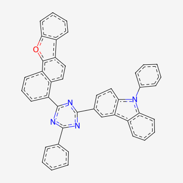 c1ccc(-c2nc(-c3ccc4c(c3)c3ccccc3n4-c3ccccc3)nc(-c3cccc4c3ccc3c5ccccc5oc43)n2)cc1